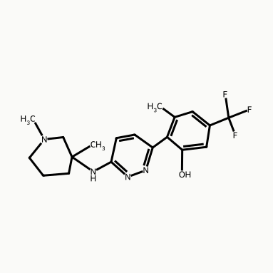 Cc1cc(C(F)(F)F)cc(O)c1-c1ccc(NC2(C)CCCN(C)C2)nn1